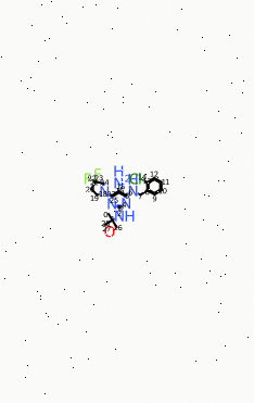 CC1(Nc2nc(NCc3ccccc3Cl)c(N)c(N3CCC(F)(F)C3)n2)COC1